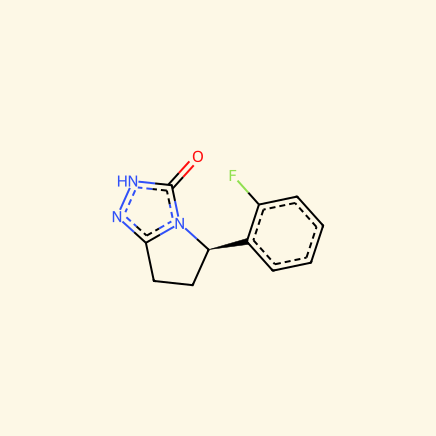 O=c1[nH]nc2n1[C@@H](c1ccccc1F)CC2